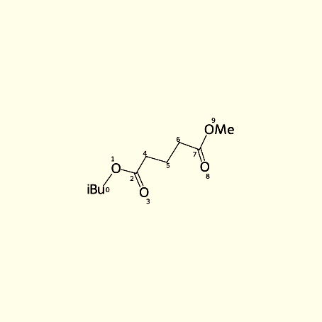 CCC(C)OC(=O)CCCC(=O)OC